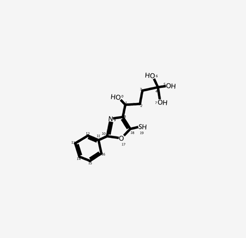 OC(CCC(O)(O)O)c1nc(-c2ccccc2)oc1S